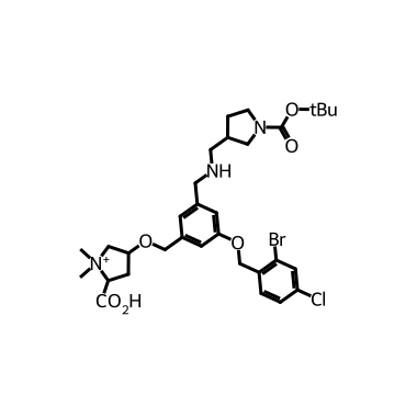 CC(C)(C)OC(=O)N1CCC(CNCc2cc(COC3CC(C(=O)O)[N+](C)(C)C3)cc(OCc3ccc(Cl)cc3Br)c2)C1